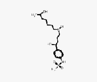 CCN(CCCCCC(C)O)CCCC(O)c1ccc(NS(C)(=O)=O)cc1